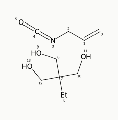 C=CCN=C=O.CCC(CO)(CO)CO